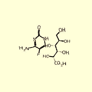 Nc1nc(=O)[nH]cc1F.O=C(O)[C@H](O)[C@@H](O)[C@H](O)[C@H](O)CO